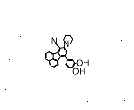 N#Cc1c(N2CCCCC2)cc(-c2ccc(O)c(O)c2)c2c1-c1cccc3cccc-2c13